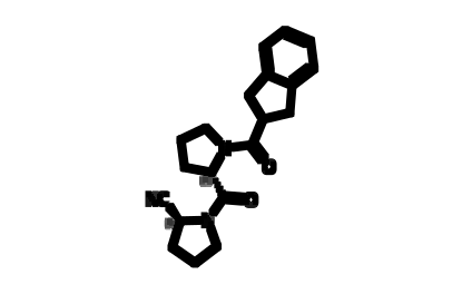 N#C[C@@H]1CCCN1C(=O)[C@@H]1CCCN1C(=O)C1Cc2ccccc2C1